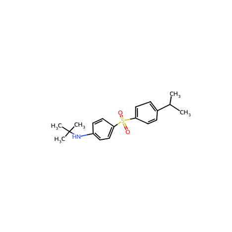 CC(C)c1ccc(S(=O)(=O)c2ccc(NC(C)(C)C)cc2)cc1